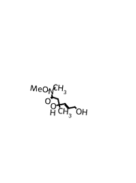 CON(C)C(=O)CC(C)(O)/C=C/CO